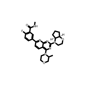 CNC(=O)c1cc(-c2ccc3c(N4CCOCC4C)nc(N4CCO[C@@H]5CCC[C@@H]54)nc3n2)ccc1F